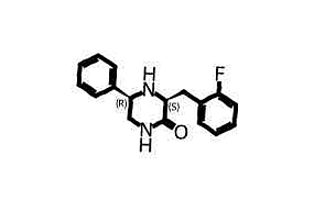 O=C1NC[C@@H](c2ccccc2)N[C@H]1Cc1ccccc1F